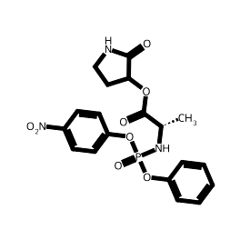 C[C@H](NP(=O)(Oc1ccccc1)Oc1ccc([N+](=O)[O-])cc1)C(=O)OC1CCNC1=O